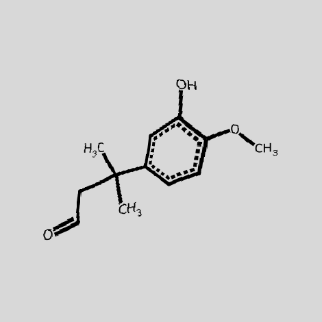 COc1ccc(C(C)(C)CC=O)cc1O